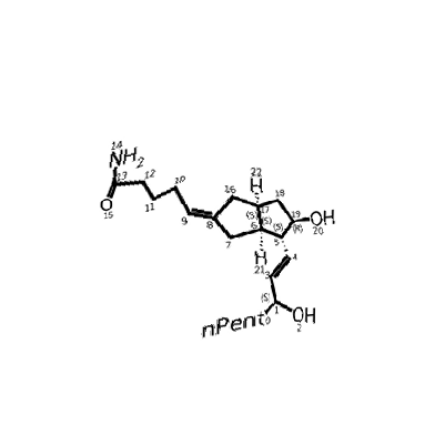 CCCCC[C@H](O)C=C[C@@H]1[C@H]2CC(=CCCCC(N)=O)C[C@H]2C[C@H]1O